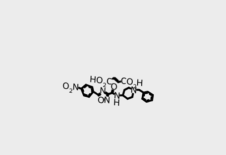 O=C(NC1CCN(Cc2ccccc2)CC1)c1noc(-c2ccc([N+](=O)[O-])cc2)n1.O=C(O)C=CC(=O)O